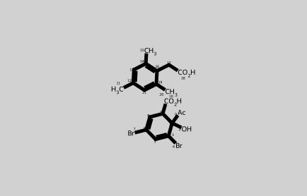 CC(=O)C1(O)C(Br)=CC(Br)=CC1C(=O)O.Cc1cc(C)c(CC(=O)O)c(C)c1